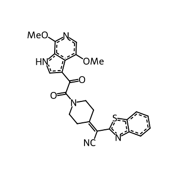 COc1ncc(OC)c2c(C(=O)C(=O)N3CCC(=C(C#N)c4nc5ccccc5s4)CC3)c[nH]c12